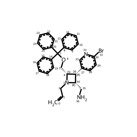 C=CCN1[C@H](COC(c2ccccc2)(c2ccccc2)c2ccccc2)[C@H](c2ccc(Br)nc2)[C@@H]1CN